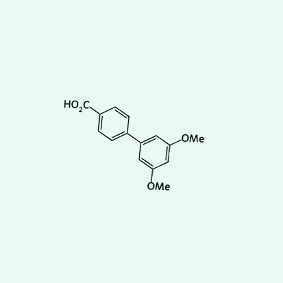 COc1cc(OC)cc(-c2ccc(C(=O)O)cc2)c1